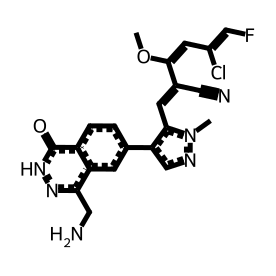 COC(=C/C(Cl)=C/F)/C(C#N)=C/c1c(-c2ccc3c(=O)[nH]nc(CN)c3c2)cnn1C